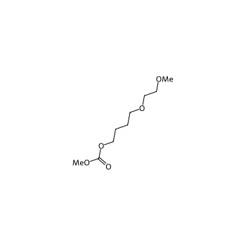 COCCOCCCCOC(=O)OC